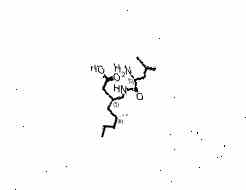 CCC[C@@H](C)C[C@H](CNC(=O)[C@@H](N)CC(C)C)CC(=O)O